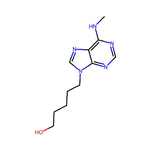 CNc1ncnc2c1ncn2CCCCCO